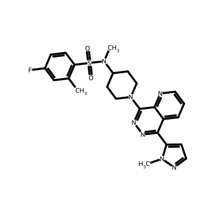 Cc1cc(F)ccc1S(=O)(=O)N(C)C1CCN(c2nnc(-c3ccnn3C)c3cccnc23)CC1